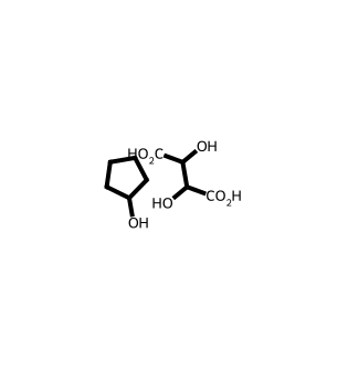 O=C(O)C(O)C(O)C(=O)O.OC1CCCC1